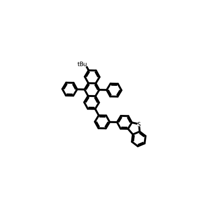 CC(C)(C)c1ccc2c(-c3ccccc3)c3cc(-c4cccc(-c5ccc6sc7ccccc7c6c5)c4)ccc3c(-c3ccccc3)c2c1